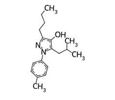 CCCCc1nn(-c2ccc(C)cc2)c(CC(C)C)c1O